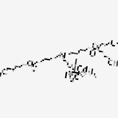 CCCCCCCOC(=O)CCCCCCCN(CCCCCCCC(=O)OC(CCCC)CCCCC)CCCNC(=O)C(C)(C)OC